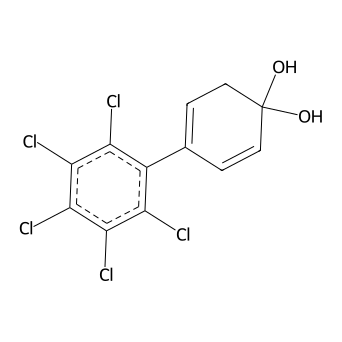 OC1(O)C=CC(c2c(Cl)c(Cl)c(Cl)c(Cl)c2Cl)=CC1